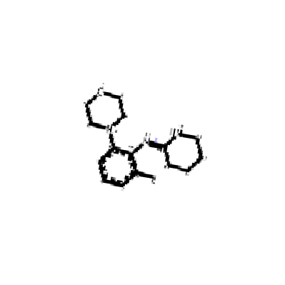 Cc1cccc(N2CCOCC2)c1/N=C1\CCCCN1